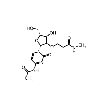 CNC(=O)CCO[C@@H]1[C@H](O)[C@@H](CO)O[C@H]1n1ccc(NC(C)=O)nc1=O